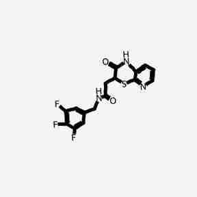 O=C(CC1Sc2ncccc2NC1=O)NCc1cc(F)c(F)c(F)c1